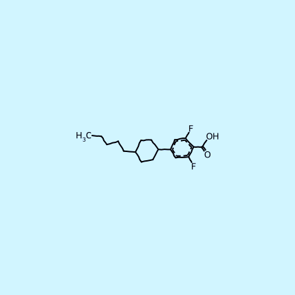 CCCCCC1CCC(c2cc(F)c(C(=O)O)c(F)c2)CC1